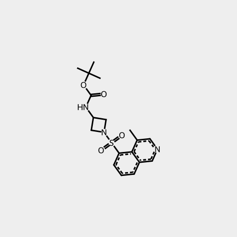 Cc1cncc2cccc(S(=O)(=O)N3CC(NC(=O)OC(C)(C)C)C3)c12